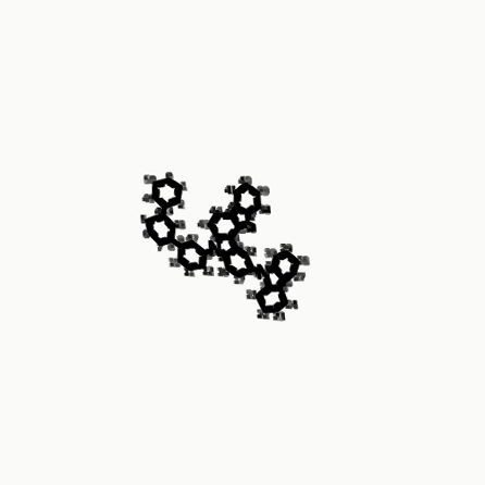 c1ccc(-c2cccc(-c3cccc(-n4c5ccc(-n6c7ccccc7c7ccccc76)cc5c5c6sc7ccccc7c6ccc54)c3)c2)cc1